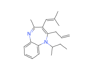 C=CCC1=C(C=C(C)C)C(C)=Nc2ccccc2N1C(C)CC